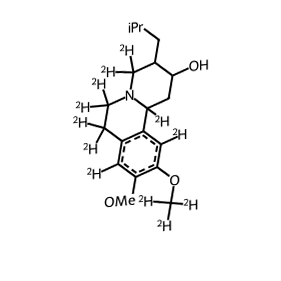 [2H]c1c(OC([2H])([2H])[2H])c(OC)c([2H])c2c1C1([2H])CC(O)C(CC(C)C)C([2H])([2H])N1C([2H])([2H])C2([2H])[2H]